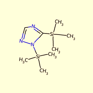 C[Si](C)(C)c1ncnn1[Si](C)(C)C